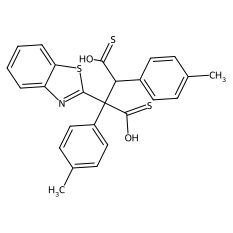 Cc1ccc(C(C(O)=S)C(C(O)=S)(c2ccc(C)cc2)c2nc3ccccc3s2)cc1